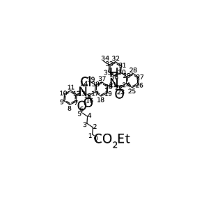 CCOC(=O)CCCCCOc1ccccc1N(C)C(=O)c1ccc(NC(=O)c2ccccc2-c2ccc(C)cc2)cc1Cl